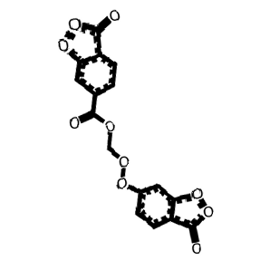 O=C(OCOOc1ccc2c(=O)ooc2c1)c1ccc2c(=O)ooc2c1